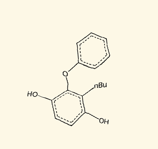 CCCCc1c(O)ccc(O)c1Oc1ccccc1